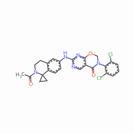 CC(=O)N1CCc2cc(Nc3ncc4c(n3)OCN(c3c(Cl)cccc3Cl)C4=O)ccc2C12CC2